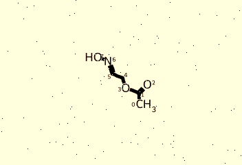 CC(=O)OC/C=N/O